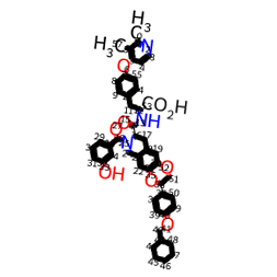 Cc1nccc(Oc2ccc(CC(NC(=O)[C@@H]3Cc4cc5c(cc4CN3C(=O)c3cccc(O)c3)O[C@@H](c3ccc(OCC4CCCCC4)cc3)CO5)C(=O)O)cc2)c1C